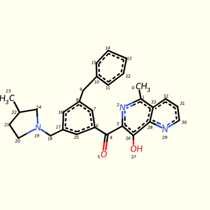 Cc1nc(C(=O)c2cc(Cc3ccccc3)cc(CN3CCC(C)C3)c2)c(O)c2ncccc12